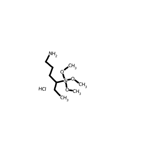 CCC(CCCN)[Si](OC)(OC)OC.Cl